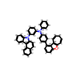 C1=Cc2oc3cccc(-c4ccc(N(c5ccccc5)c5cccc(-n6c7ccccc7c7c8ccccc8ccc76)c5)cc4)c3c2C=CC1